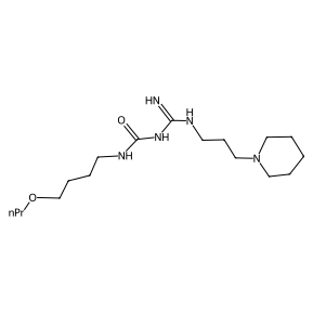 CCCOCCCCNC(=O)NC(=N)NCCCN1CCCCC1